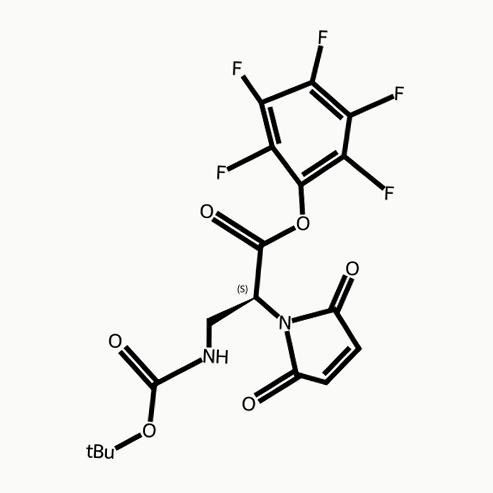 CC(C)(C)OC(=O)NC[C@@H](C(=O)Oc1c(F)c(F)c(F)c(F)c1F)N1C(=O)C=CC1=O